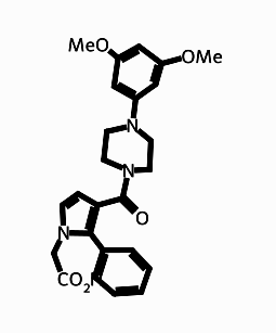 COc1cc(OC)cc(N2CCN(C(=O)c3ccn(CC(=O)O)c3-c3ccccc3)CC2)c1